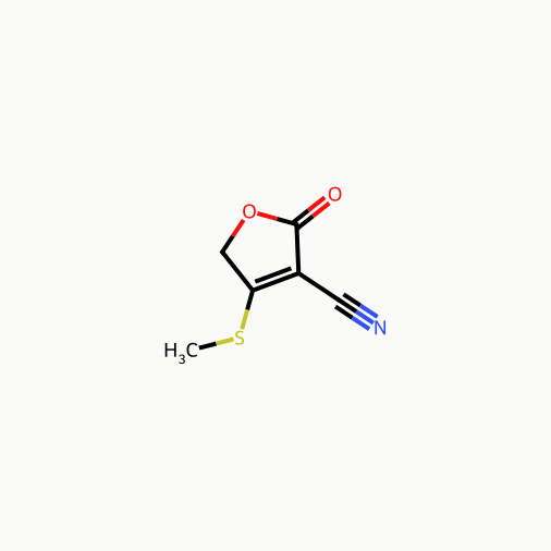 CSC1=C(C#N)C(=O)OC1